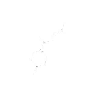 CN(C)COC(=O)N1CCC(=O)CC1